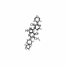 Cn1c(N2CCC3(CCOC3)CC2)nc2[nH]nc(-c3ccnc(N4CCOCC4)c3Cl)c2c1=O